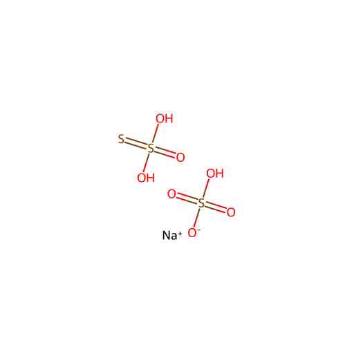 O=S(=O)([O-])O.O=S(O)(O)=S.[Na+]